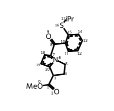 COC(=O)C1CCn2c(C(=O)c3ccccc3SC(C)C)ccc21